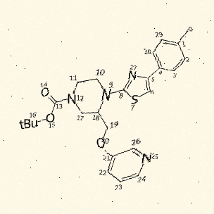 Cc1ccc(-c2csc(N3CCN(C(=O)OC(C)(C)C)CC3COc3cccnc3)n2)cc1